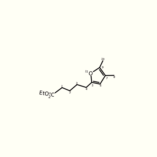 CCOC(=O)CCCCc1cc(C)c(C)o1